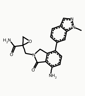 Cn1ncc2ccc(-c3ccc(N)c4c3CN(CC3(C(N)=O)CO3)C4=O)cc21